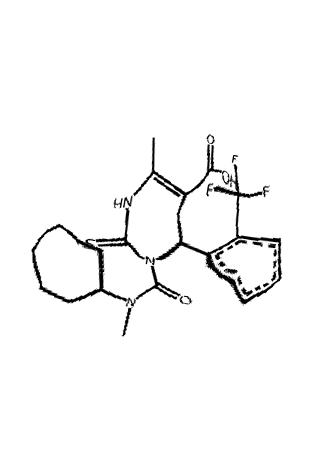 CC1=C(C(=O)O)C(c2ccccc2C(F)(F)F)N(C(=O)N(C)C2CCCCC2)C(=S)N1